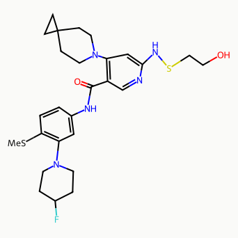 CSc1ccc(NC(=O)c2cnc(NSCCO)cc2N2CCC3(CC2)CC3)cc1N1CCC(F)CC1